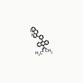 C=C/C=C(\C=C)c1c2ccccc2c(-c2cccc(-c3ccnc4c3ccc3cccnc34)c2)c2ccccc12